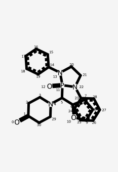 O=C1CCN(C(c2ccco2)P2(=O)N(c3ccccc3)CCN2c2ccccc2)CC1